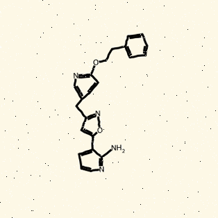 Nc1ncccc1-c1cc(Cc2ccc(OCCc3ccccc3)nc2)no1